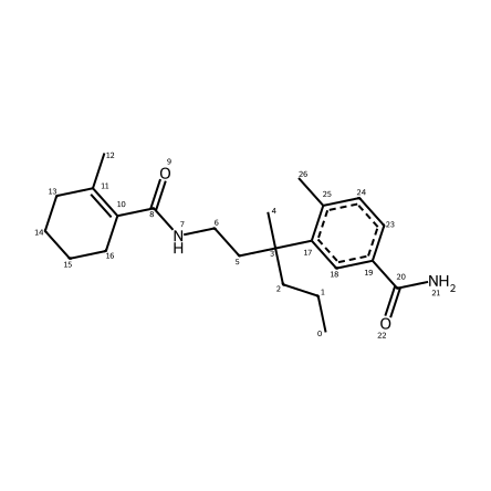 CCCC(C)(CCNC(=O)C1=C(C)CCCC1)c1cc(C(N)=O)ccc1C